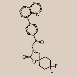 O=C(CN1CC2(CCC(F)(F)CC2)OC1=O)c1ccc(-c2cccc3cccnc23)cc1